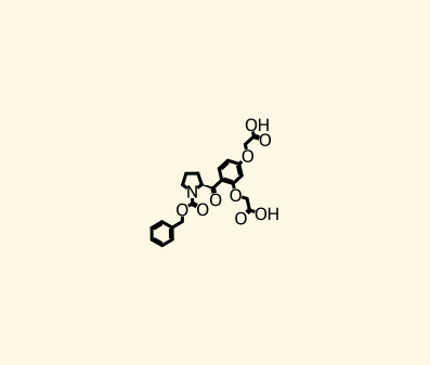 O=C(O)COc1ccc(C(=O)[C@@H]2CCCN2C(=O)OCc2ccccc2)c(OCC(=O)O)c1